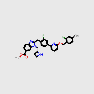 CC(C)(C)OC(=O)c1ccc2nc(Cc3ccc(-c4cccc(OCc5ccc(C#N)cc5F)n4)cc3F)n(C[C@H]3CCN3)c2c1